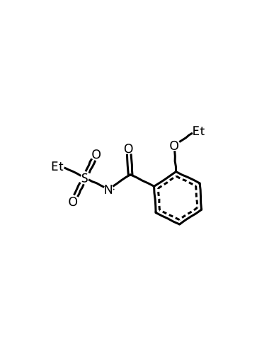 CCOc1ccccc1C(=O)[N]S(=O)(=O)CC